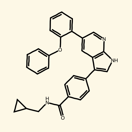 O=C(NCC1CC1)c1ccc(-c2c[nH]c3ncc(-c4ccccc4Oc4ccccc4)cc23)cc1